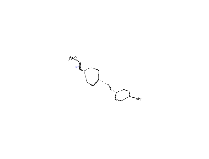 CCC[C@H]1CC[C@H](CC[C@H]2CC[C@H](/C=C/C#N)CC2)CC1